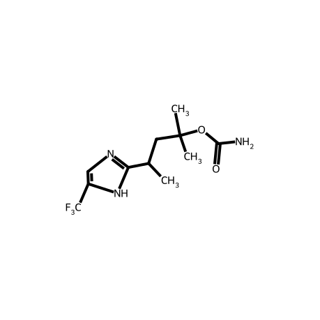 CC(CC(C)(C)OC(N)=O)c1ncc(C(F)(F)F)[nH]1